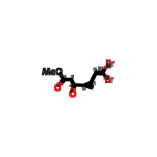 COC(=O)CC(=O)C1CC1C=C(Br)Br